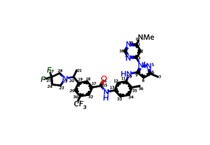 CNc1cc(-n2nc(C)cc2Nc2cc(NC(=O)c3cc(C(C)N4CCC(F)(F)C4)cc(C(F)(F)F)c3)ccc2C)ncn1